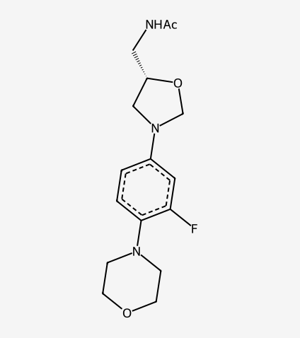 CC(=O)NC[C@H]1CN(c2ccc(N3CCOCC3)c(F)c2)CO1